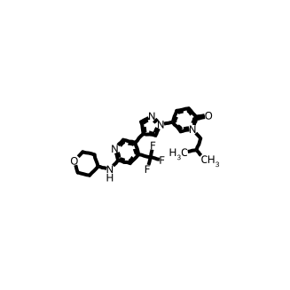 CC(C)Cn1cc(-n2cc(-c3cnc(NC4CCOCC4)cc3C(F)(F)F)cn2)ccc1=O